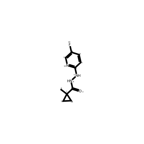 CC1(C(=O)NNc2ccc(F)cn2)CC1